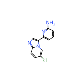 Nc1cccc(-c2cnc3ccc(Cl)cn23)n1